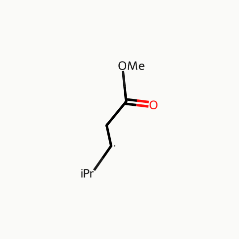 COC(=O)C[CH]C(C)C